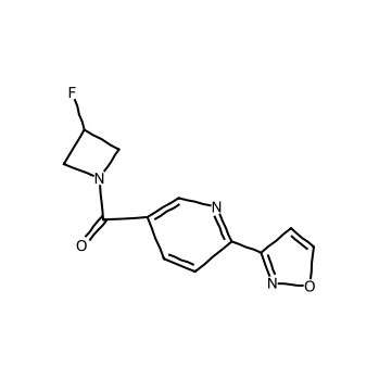 O=C(c1ccc(-c2ccon2)nc1)N1CC(F)C1